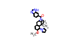 COc1ccc2c(c1-n1cccc1)[C@]1(C)CCN(C(=O)c3ccc4nc[nH]c4c3)C(C2)C1C